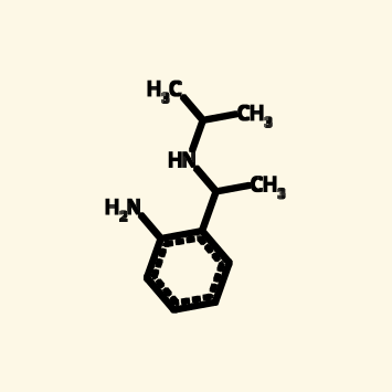 CC(C)NC(C)c1ccccc1N